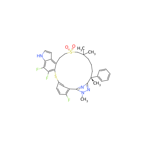 Cn1nc2nc1-c1cc(ccc1F)Sc1c(F)c(F)c3[nH]ccc3c1CCS(=O)(=O)CC(C)(C)CCC[C@]2(C)c1ccccc1